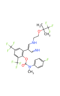 CN(C(=O)Oc1c(/C(C=N)=C/NCCOC(C)(C)C(F)(F)F)cc(C(F)(F)F)cc1C(F)(F)F)c1ccc(F)cc1